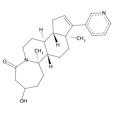 C[C@]12CC[C@H]3[C@@H](CCN4C(=O)CC(O)CC[C@]34C)[C@@H]1CC=C2c1cccnc1